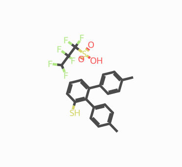 Cc1ccc(-c2cccc(S)c2-c2ccc(C)cc2)cc1.O=S(=O)(O)C(F)(F)C(F)(F)C(F)F